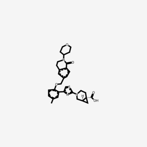 Cc1ccc(OCc2ccc3c(c2)CCN(C2CCOCC2)C3=O)c(-c2csc(N3CC[C@@]4(C(=O)O)C[C@H]4C3)n2)c1